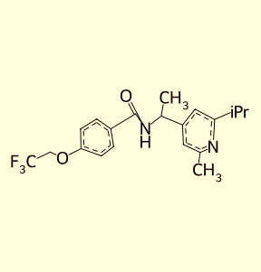 Cc1cc(C(C)NC(=O)c2ccc(OCC(F)(F)F)cc2)cc(C(C)C)n1